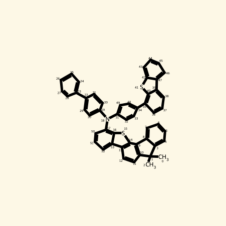 CC1(C)c2ccccc2-c2c1ccc1c2sc2c(N(c3ccc(-c4ccccc4)cc3)c3ccc(-c4cccc5c4sc4ccccc45)cc3)cccc21